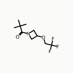 CC(C)(C)C(=O)N1CC(OCC(F)(F)F)C1